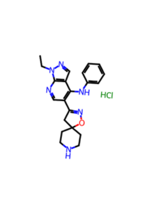 CCn1ncc2c(Nc3ccccc3)c(C3=NOC4(CCNCC4)C3)cnc21.Cl